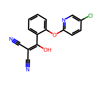 N#CC(C#N)=C(O)c1ccccc1Oc1ccc(Cl)cn1